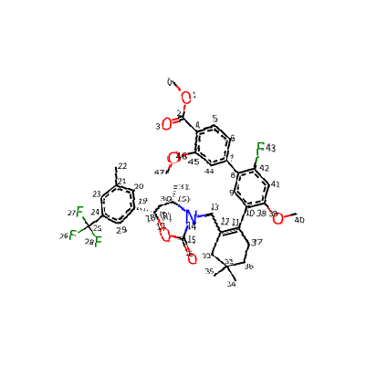 COC(=O)c1ccc(-c2cc(C3=C(CN4C(=O)O[C@H](c5cc(C)cc(C(F)(F)F)c5)[C@@H]4C)CC(C)(C)CC3)c(OC)cc2F)cc1OC